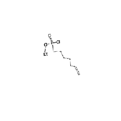 C=CCCCCCP(=O)(Cl)OCC